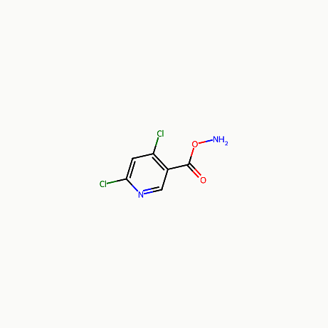 NOC(=O)c1cnc(Cl)cc1Cl